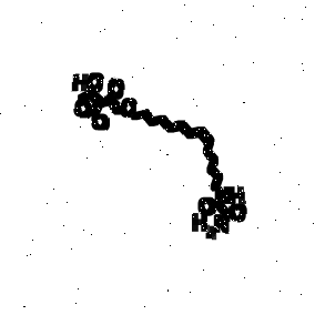 NC(=O)C(=O)NCCCCC/C=C\CCCCCCCOCC(=O)C1=C(O)COC1=O